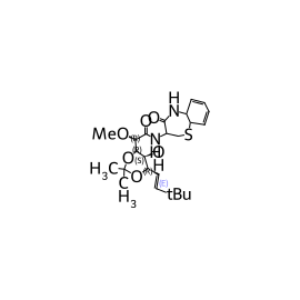 CO[C@@H](C(=O)NC1CSC2C=CC=CC2NC1=O)[C@@H]1OC(C)(C)O[C@H](/C=C/C(C)(C)C)[C@@H]1O